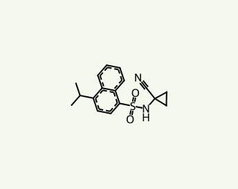 CC(C)c1ccc(S(=O)(=O)NC2(C#N)CC2)c2ccccc12